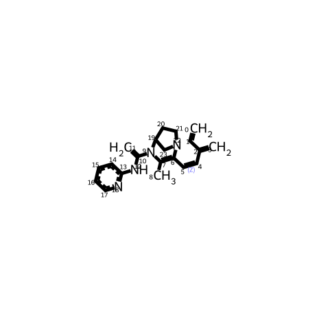 C=CC(=C)/C=C\C1=C(C)N(C(=C)Nc2ccccn2)C2CCN1C2